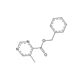 Cc1cncnc1C(=O)OCc1ccccc1